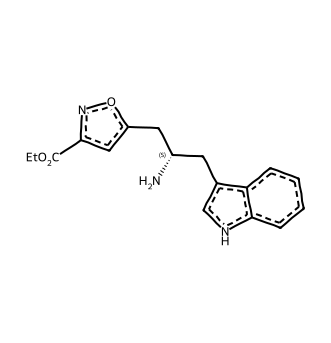 CCOC(=O)c1cc(C[C@@H](N)Cc2c[nH]c3ccccc23)on1